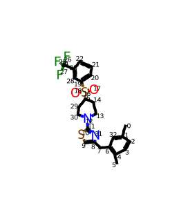 Cc1ccc(C)c(Cc2csc(N3CCC(S(=O)(=O)c4cccc(C(F)(F)F)c4)CC3)n2)c1